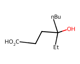 CCCCC(O)(CC)CCC(=O)O